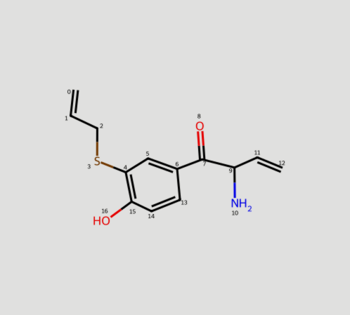 C=CCSc1cc(C(=O)C(N)C=C)ccc1O